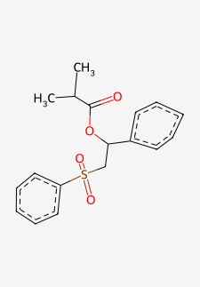 CC(C)C(=O)OC(CS(=O)(=O)c1ccccc1)c1ccccc1